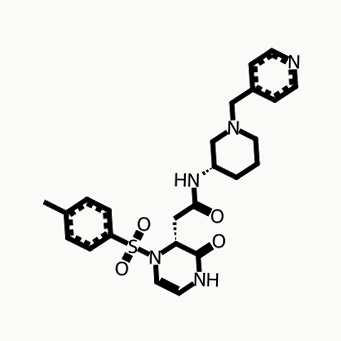 Cc1ccc(S(=O)(=O)N2C=CNC(=O)[C@H]2CC(=O)N[C@H]2CCCN(Cc3ccncc3)C2)cc1